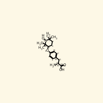 CC1(C)CCC(Oc2ccc(C[C@H](N)C(=O)O)cc2)C(C)(C)N1O